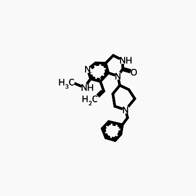 C=Cc1c(NC)ncc2c1N(C1CCN(Cc3ccccc3)CC1)C(=O)NC2